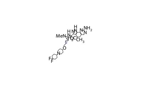 CNC(NC(=O)c1n[nH]c2c1C(C)(C)Cc1cnc(N)nc1-2)S/C=C/COC1CCN(C2CCC(F)(F)CC2)CC1